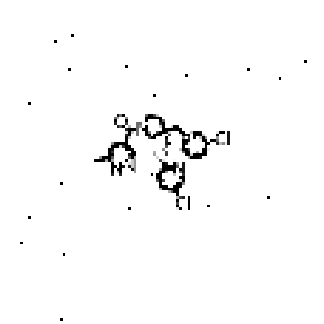 Cc1cc(C(=O)N2CC[C@](COc3ccc(Cl)cn3)(Cc3cccc(Cl)c3)C2)cnn1